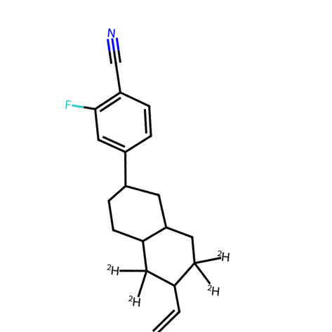 [2H]C1([2H])CC2CC(c3ccc(C#N)c(F)c3)CCC2C([2H])([2H])C1C=C